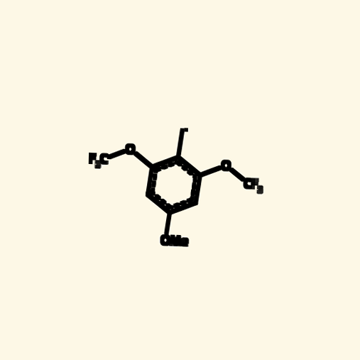 [CH2]c1c(OC(F)(F)F)cc(OC)cc1OC(F)(F)F